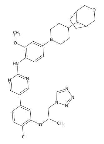 COc1cc(N2CCC(N3C4CCC3COC4)CC2)ccc1Nc1ncc(-c2ccc(Cl)c(OC(C)Cn3cnnn3)c2)cn1